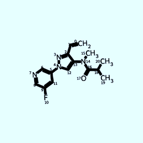 C=Cc1nn(-c2cncc(F)c2)cc1N(C)C(=O)C(C)C